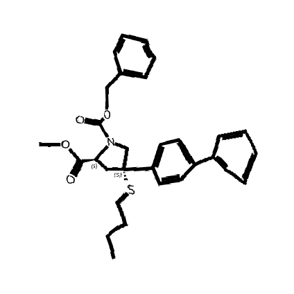 CCCCS[C@]1(c2ccc(-c3ccccc3)cc2)C[C@@H](C(=O)OC)N(C(=O)OCc2ccccc2)C1